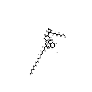 CCCCCCCCCCCCCCCC(=O)OC(C1CCCCC1)[N+]1(C)CCC=C(c2nsnc2OCCCCCC)C1.[I-]